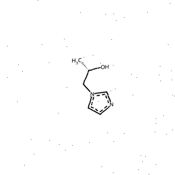 C[C@H](O)Cn1ccnc1